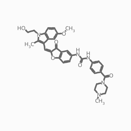 COc1ccc2c(c1)c(C=C1Oc3ccc(NC(=O)Nc4ccc(C(=O)N5CCN(C)CC5)cc4)cc3C1=O)c(C)n2CCO